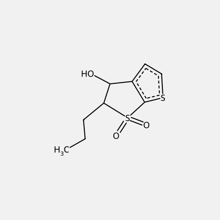 CCCC1C(O)c2ccsc2S1(=O)=O